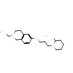 CCN1CCc2cc(OCCCN3CCCCC3C)ccc2C1